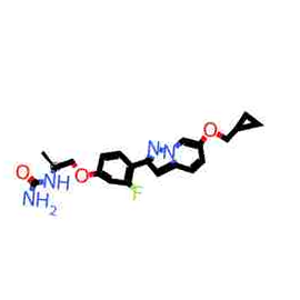 C[C@@H](COc1ccc(-c2cc3ccc(OCC4CC4)cn3n2)c(F)c1)NC(N)=O